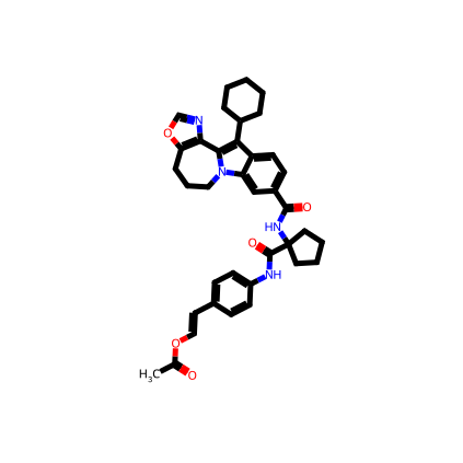 CC(=O)O/C=C/c1ccc(NC(=O)C2(NC(=O)c3ccc4c(C5CCCCC5)c5n(c4c3)CCCc3ocnc3-5)CCCC2)cc1